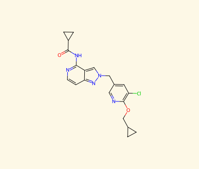 O=C(Nc1nccc2nn(Cc3cnc(OCC4CC4)c(Cl)c3)cc12)C1CC1